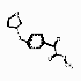 COC(=O)C(=O)c1ccc(O[C@@H]2CCOC2)cc1